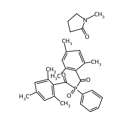 CN1CCCC1=O.Cc1cc(C)c(C(=O)P(=O)(C(=O)c2c(C)cc(C)cc2C)c2ccccc2)c(C)c1